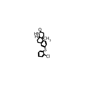 C[C@]12CCC(=O)N[C@@H]1CCc1cc(Sc3ccccc3Cl)ccc12